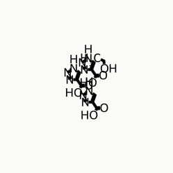 CCO.O=C(O)c1c[nH]nn1.O=C(O)c1c[nH]nn1.O=C(O)c1c[nH]nn1